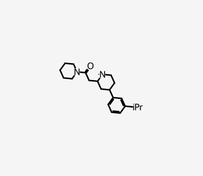 CC(C)c1cccc(C2CC[N]C(CC(=O)N3CCCCC3)C2)c1